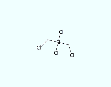 ClC[Si](Cl)(Cl)CCl